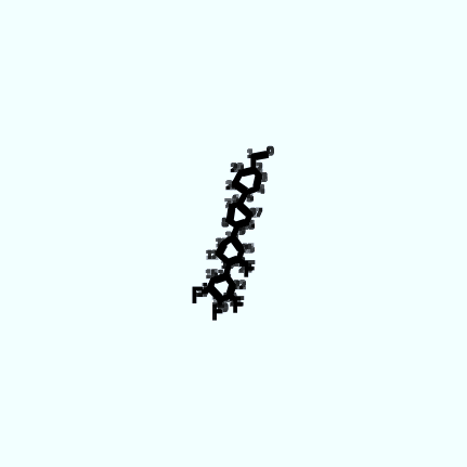 C=Cc1ccc(-c2ccc(-c3ccc(-c4cc(F)c(F)c(F)c4)c(F)c3)cc2)cc1